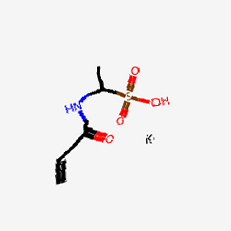 C=CC(=O)NC(C)S(=O)(=O)O.[K]